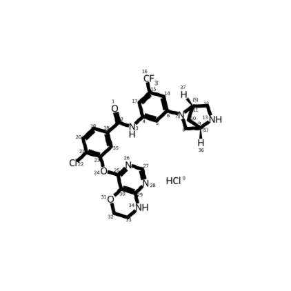 Cl.O=C(Nc1cc(N2C[C@@H]3C[C@H]2CN3)cc(C(F)(F)F)c1)c1ccc(Cl)c(Oc2ncnc3c2OCCN3)c1